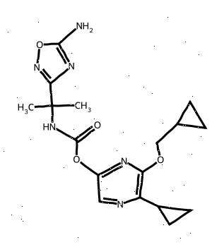 CC(C)(NC(=O)Oc1cnc(C2CC2)c(OCC2CC2)n1)c1noc(N)n1